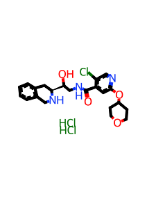 Cl.Cl.O=C(NCC(O)[C@@H]1Cc2ccccc2CN1)c1cc(OC2CCOCC2)ncc1Cl